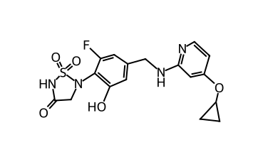 O=C1CN(c2c(O)cc(CNc3cc(OC4CC4)ccn3)cc2F)S(=O)(=O)N1